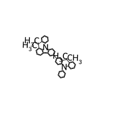 CC1(C)c2ccccc2N(c2ccccc2)c2ccc(-c3ccc4c(c3)c3cccc5c3n4-c3ccccc3C5(C)C)cc21